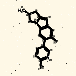 CC(C)c1ncc(-c2cc3c(cc2F)nc2n3C[C@@H](C)C2)cn1